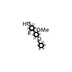 COc1cc(OCc2ccccc2)ccc1-c1ccc(O)cc1F